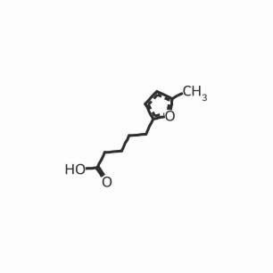 Cc1ccc(CCCCC(=O)O)o1